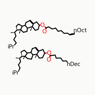 CCCCCCCC/C=C\CCCCCCCC(=O)OC1CC[C@@]2(C)C(=CCC3C2CC[C@@]2(C)C3CC[C@@H]2[C@H](C)CCCC(C)C)C1.CCCCCCCCCCCCCCCC(=O)OC1CC[C@@]2(C)C(=CCC3C2CC[C@@]2(C)C3CC[C@@H]2[C@H](C)CCCC(C)C)C1